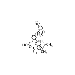 [C-]#[N+]c1ccc(OC)c(OCc2ccc(CCC(=O)O)c(C(=O)NC(CC(C)C)c3cc(C)cc(C)c3)c2)c1